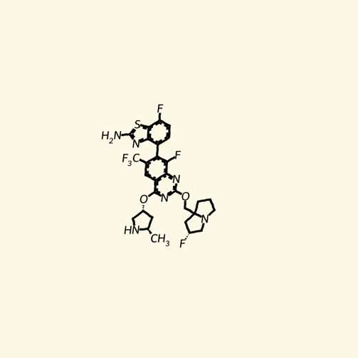 C[C@@H]1C[C@@H](Oc2nc(OCC34CCCN3C[C@H](F)C4)nc3c(F)c(-c4ccc(F)c5sc(N)nc45)c(C(F)(F)F)cc23)CN1